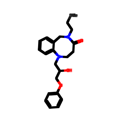 COCCN1Cc2ccccc2N(CC(O)COc2ccccc2)CCC1=O